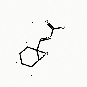 O=C(O)C=CC12CCCCC1O2